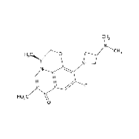 C[C@H]1COc2c(N3CC(N(C)C)C3)c(F)cc3c(=O)c(C(=O)O)cn1c23